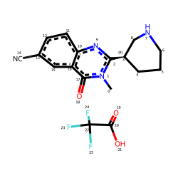 Cn1c([C@@H]2CCCNC2)nc2ccc(C#N)cc2c1=O.O=C(O)C(F)(F)F